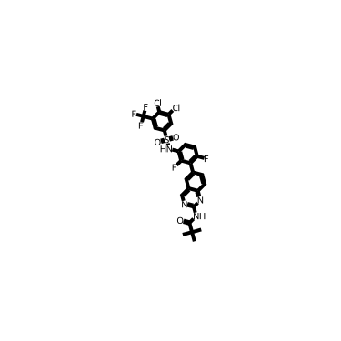 CC(C)(C)C(=O)Nc1ncc2cc(-c3c(F)ccc(NS(=O)(=O)c4cc(Cl)c(Cl)c(C(F)(F)F)c4)c3F)ccc2n1